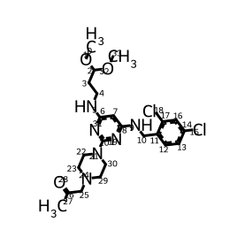 COC(CCNc1cc(NCc2ccc(Cl)cc2Cl)nc(N2CCN(CC(C)=O)CC2)n1)OC